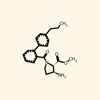 CCCc1ccc(-c2ccccc2C(=O)N2CC[C@H](N)[C@H]2C(=O)OC)cc1